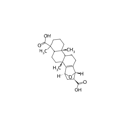 CC1(C(=O)O)CCC[C@@]2(C)C1CC[C@@]1(C)C3=C(CCC21)[C@H]1O[C@H]3C[C@@H]1C(=O)O